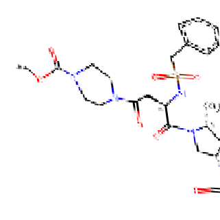 CC(C)(C)OC(=O)N[C@H]1C[C@@H](C(=O)O)N(C(=O)[C@@H](CC(=O)N2CCN(C(=O)OC(C)(C)C)CC2)NS(=O)(=O)Cc2ccccc2)C1